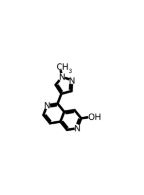 Cn1cc(-c2nccc3cnc(O)cc23)cn1